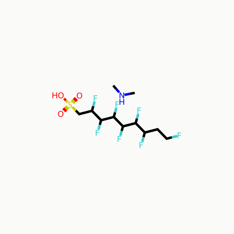 CNC.O=S(=O)(O)CC(F)C(F)C(F)C(F)C(F)C(F)CCF